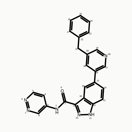 O=C(Nc1ccnnc1)c1n[nH]c2ccc(-c3cncc(Cc4ccccc4)c3)cc12